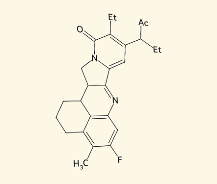 CCc1c(C(CC)C(C)=O)cc2n(c1=O)CC1C2=Nc2cc(F)c(C)c3c2C1CCC3